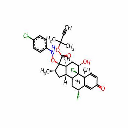 C#CC(C)(C)OC(=O)[C@@]1(ONc2ccc(Cl)cc2)[C@H](C)C[C@H]2[C@@H]3C[C@H](F)C4=CC(=O)C=C[C@]4(C)[C@@]3(F)[C@@H](O)C[C@@]21C